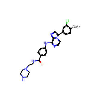 COc1ccc(-c2cnc3c(Nc4ccc(C(=O)NCCN5CCNCC5)cc4)nccn23)cc1Cl